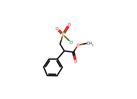 COC(=O)C(CS(=O)(=O)Cl)c1ccccc1